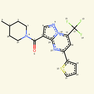 CC1CCN(C(=O)c2cnn3c(C(F)(F)F)cc(-c4cccs4)nc23)CC1